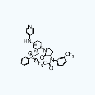 O=C1C(N(C(=O)C(F)(F)F)c2cccc(C(F)(F)F)c2)CCN1[C@H]1CC[C@@H](Nc2ccncc2)C[C@@H]1CS(=O)(=O)c1ccccc1